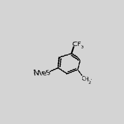 [CH2]c1cc(SC)cc(C(F)(F)F)c1